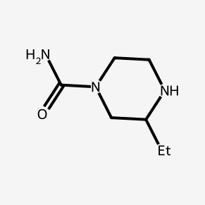 CCC1CN(C(N)=O)CCN1